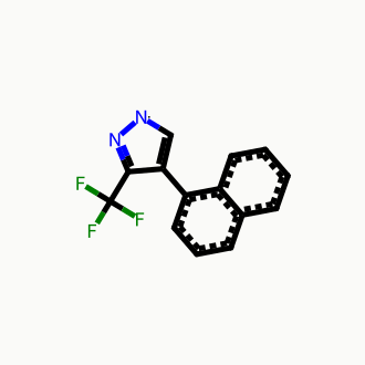 FC(F)(F)C1=N[N]C=C1c1cccc2ccccc12